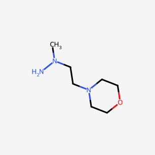 CN(N)CCN1CCOCC1